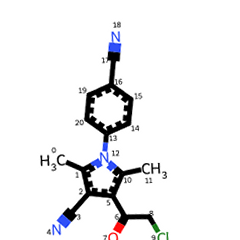 Cc1c(C#N)c(C(=O)CCl)c(C)n1-c1ccc(C#N)cc1